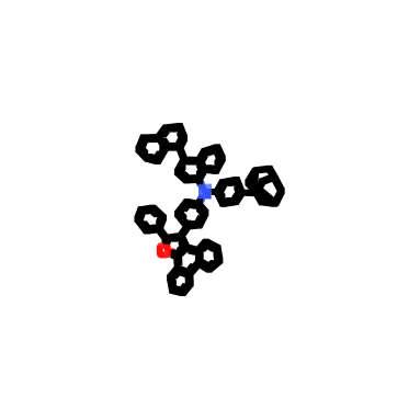 c1ccc(-c2oc3c4ccccc4c4ccccc4c3c2-c2ccc(N(c3ccc(C45CC6CC(CC(C6)C4)C5)cc3)c3ccc(-c4cccc5ccccc45)c4ccccc34)cc2)cc1